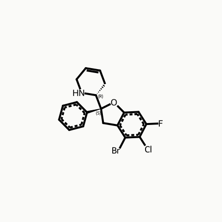 Fc1cc2c(c(Br)c1Cl)C[C@](c1ccccc1)([C@H]1CC=CCN1)O2